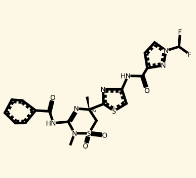 CN1C(NC(=O)c2ccccc2)=N[C@](C)(c2nc(NC(=O)c3ccn(C(F)F)n3)cs2)CS1(=O)=O